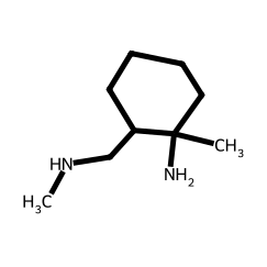 CNCC1CCCCC1(C)N